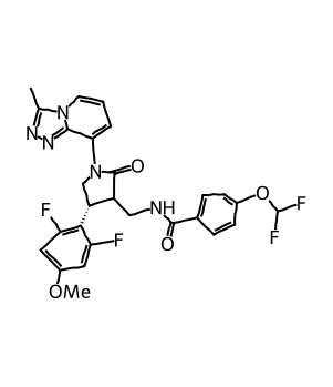 COc1cc(F)c([C@@H]2CN(c3cccn4c(C)nnc34)C(=O)C2CNC(=O)c2ccc(OC(F)F)cc2)c(F)c1